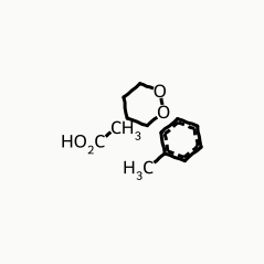 C1CCOOC1.CC(=O)O.Cc1ccccc1